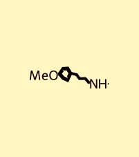 COc1ccc(CCCC[NH])cc1